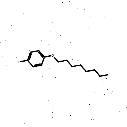 CCCCCCCCOc1ccc(F)cc1